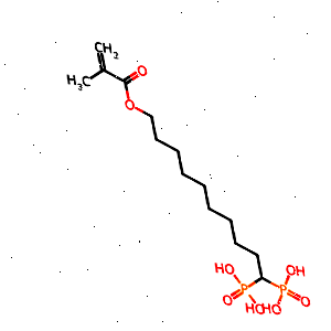 C=C(C)C(=O)OCCCCCCCCCC(P(=O)(O)O)P(=O)(O)O